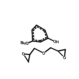 C(OCC1CO1)C1CO1.CC(C)COc1cccc(O)c1